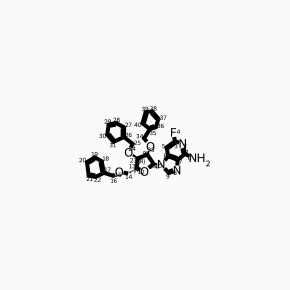 Nc1nc(F)cc2c1ncn2[C@@H]1O[C@H](COCc2ccccc2)[C@@H](OCc2ccccc2)[C@@H]1OCc1ccccc1